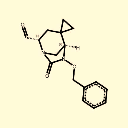 O=C[C@@H]1CC2(CC2)[C@@H]2CN1C(=O)N2OCc1ccccc1